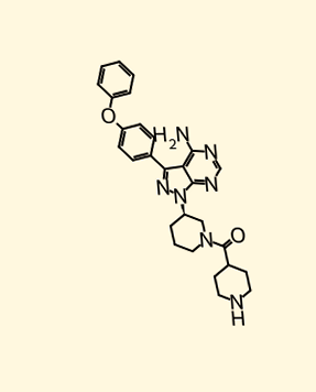 Nc1ncnc2c1c(-c1ccc(Oc3ccccc3)cc1)nn2[C@@H]1CCCN(C(=O)C2CCNCC2)C1